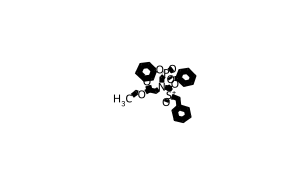 CCOC(=O)CN(CP(=O)(Oc1ccccc1)Oc1ccccc1)C(=O)[S+]([O-])Cc1ccccc1